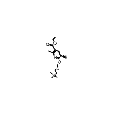 CCOC(=O)c1cc(C#N)c(OCOCC[Si](C)(C)C)nc1C